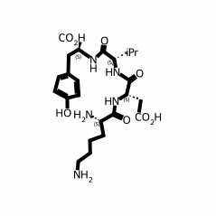 CC(C)[C@H](NC(=O)[C@H](CC(=O)O)NC(=O)[C@@H](N)CCCCN)C(=O)N[C@@H](Cc1ccc(O)cc1)C(=O)O